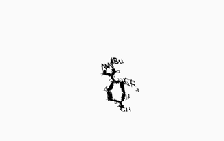 C#Cc1ccc(-c2cnn(C(C)(C)C)c2)c(C(F)(F)F)c1